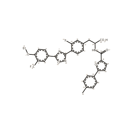 CCOc1ccc(-c2nc(-c3ccc(CC(NC(=O)c4ccc(-c5ccc(C)cc5)o4)C(=O)O)cc3F)no2)cc1C(F)(F)F